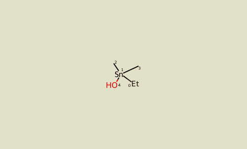 C[CH2][Sn]([CH3])([CH3])[OH]